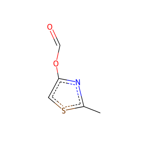 Cc1nc(OC=O)cs1